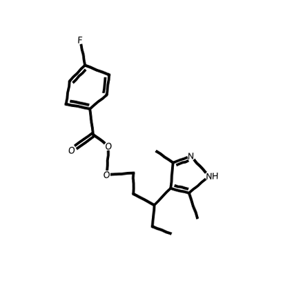 CCC(CCOOC(=O)c1ccc(F)cc1)c1c(C)n[nH]c1C